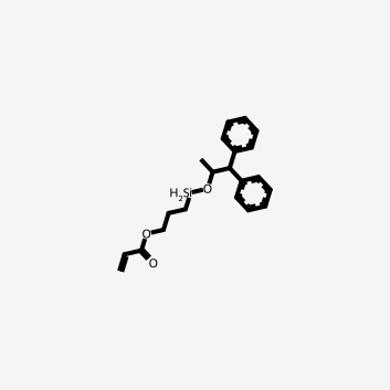 C=CC(=O)OCCC[SiH2]OC(C)C(c1ccccc1)c1ccccc1